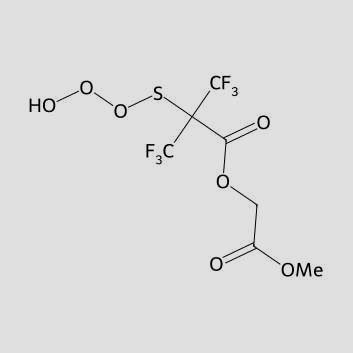 COC(=O)COC(=O)C(SOOO)(C(F)(F)F)C(F)(F)F